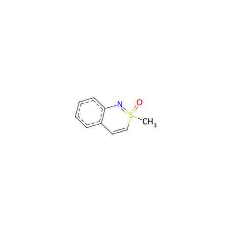 CS1(=O)=Nc2ccccc2C=C1